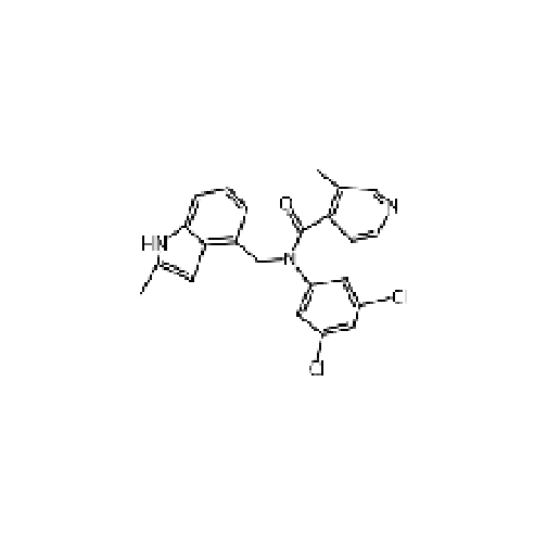 Cc1cc2c(CN(C(=O)c3ccncc3C)c3cc(Cl)cc(Cl)c3)cccc2[nH]1